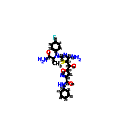 CC(C(N)=O)N(c1ccc(F)cc1)c1nc(N)c(C(=O)c2cc(C(=O)Nc3ccccc3)no2)s1